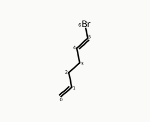 C=CCC/C=C/Br